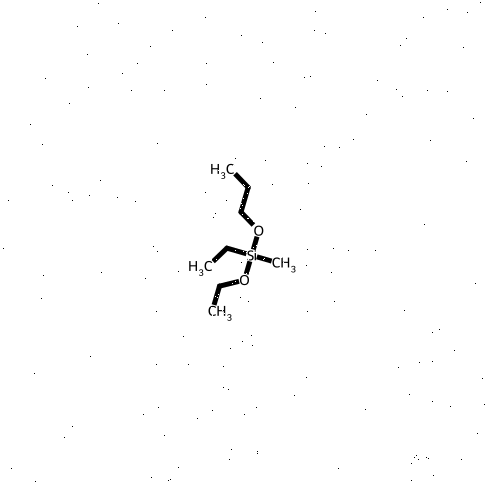 CCCO[Si](C)(CC)OCC